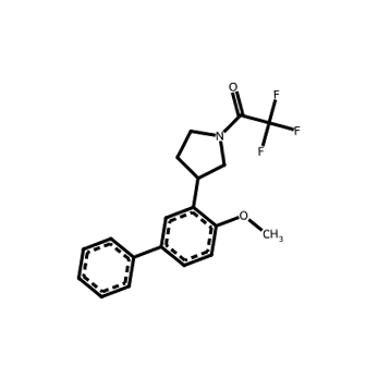 COc1ccc(-c2ccccc2)cc1C1CCN(C(=O)C(F)(F)F)C1